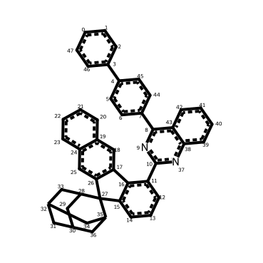 c1ccc(-c2ccc(-c3nc(-c4cccc5c4-c4cc6ccccc6cc4C54C5CC6CC(C5)CC4C6)nc4ccccc34)cc2)cc1